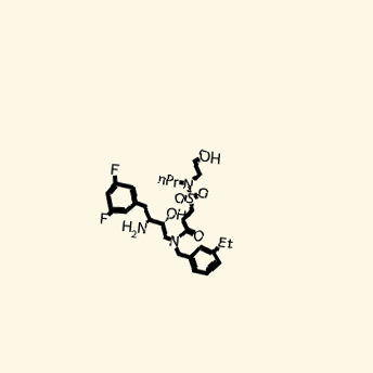 CCCN(CCO)S(=O)(=O)CCC(=O)N(Cc1cccc(CC)c1)C[C@@H](O)[C@@H](N)Cc1cc(F)cc(F)c1